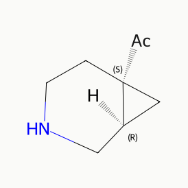 CC(=O)[C@@]12CCNC[C@@H]1C2